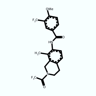 COc1ccc(C(=O)Nc2ccc3c(c2C)CN(C(=O)C(F)(F)F)CC3)cc1C(F)(F)F